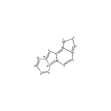 C1=c2ccc3c(c2OC1)C=c1ccccc1=3